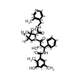 Cc1cc(O)c(C)c(C(=O)NC(c2ccccc2)[C@H](O)C(=O)N2CC(F)(F)C(C)(C)[C@H]2C(=O)NCc2ccncc2C)c1